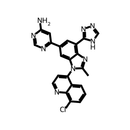 Cc1nc2c(-c3nnc[nH]3)cc(-c3cc(N)ncn3)cc2n1-c1ccnc2c(Cl)cccc12